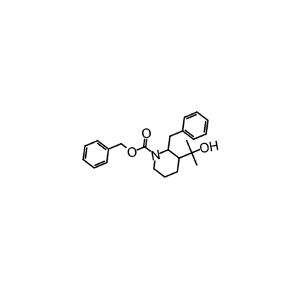 CC(C)(O)C1CCCN(C(=O)OCc2ccccc2)C1Cc1ccccc1